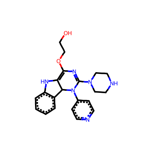 OCCOC1=C2Nc3ccccc3C2N(c2ccncc2)C(N2CCNCC2)=N1